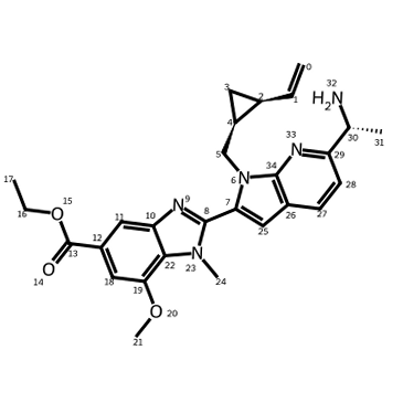 C=C[C@@H]1C[C@@H]1Cn1c(-c2nc3cc(C(=O)OCC)cc(OC)c3n2C)cc2ccc([C@@H](C)N)nc21